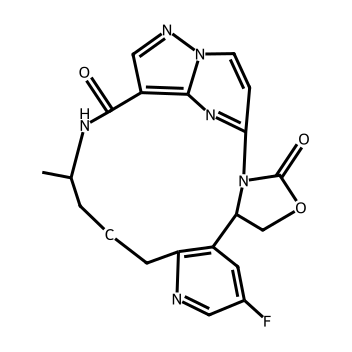 CC1CCCc2ncc(F)cc2C2COC(=O)N2c2ccn3ncc(c3n2)C(=O)N1